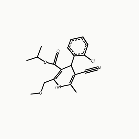 COCC1=C(C(=O)OC(C)C)C(c2ccccc2Cl)C(C#N)=C(C)N1